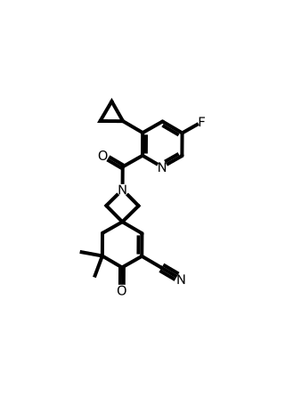 CC1(C)CC2(C=C(C#N)C1=O)CN(C(=O)c1ncc(F)cc1C1CC1)C2